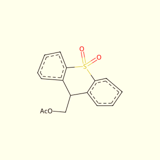 CC(=O)OCC1c2ccccc2S(=O)(=O)c2ccccc21